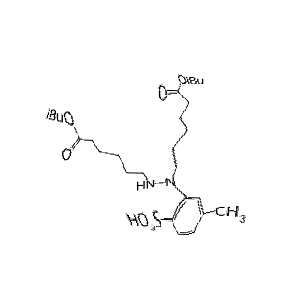 Cc1ccc(S(=O)(=O)O)c(N(CCCCCC(=O)OCC(C)C)NCCCCCC(=O)OCC(C)C)c1